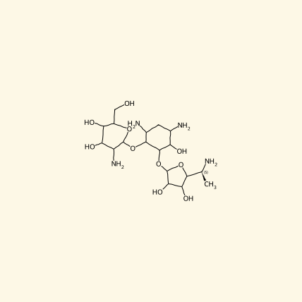 C[C@H](N)C1OC(OC2C(O)C(N)CC(N)C2OC2OC(CO)C(O)C(O)C2N)C(O)C1O